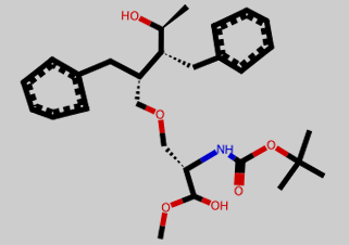 COC(O)[C@H](COC[C@H](Cc1ccccc1)[C@@H](Cc1ccccc1)[C@H](C)O)NC(=O)OC(C)(C)C